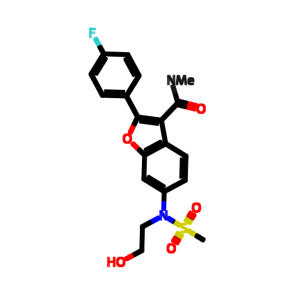 CNC(=O)c1c(-c2ccc(F)cc2)oc2cc(N(CCO)S(C)(=O)=O)ccc12